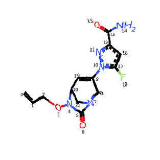 C=CCON1C(=O)N2CC(n3nc(C(N)=O)cc3F)=CC1C2